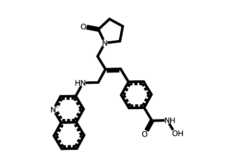 O=C(NO)c1ccc(C=C(CNc2cnc3ccccc3c2)CN2CCCC2=O)cc1